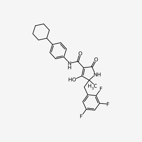 CC1(Cc2cc(F)cc(F)c2F)NC(=O)C(C(=O)Nc2ccc(C3CCCCC3)cc2)=C1O